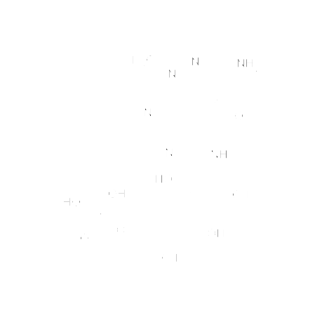 CC(COP(=O)(O)O)C(O)C(O)C(C)Nc1ncnc2c1c(=O)c(N)nn2C